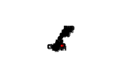 C[C@@H](c1c(F)cc(OCCN2CCC3(CC2)C(=O)Nc2ccc(Cl)cc23)cc1F)S(C)(=O)=O